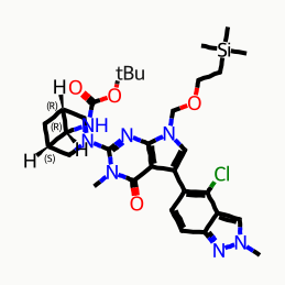 Cn1cc2c(Cl)c(-c3cn(COCC[Si](C)(C)C)c4nc(N5C[C@H]6C[C@@H](C5)[C@H]6NC(=O)OC(C)(C)C)n(C)c(=O)c34)ccc2n1